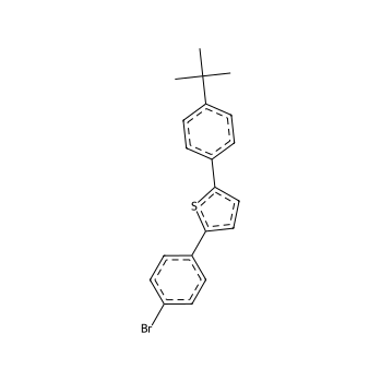 CC(C)(C)c1ccc(-c2ccc(-c3ccc(Br)cc3)s2)cc1